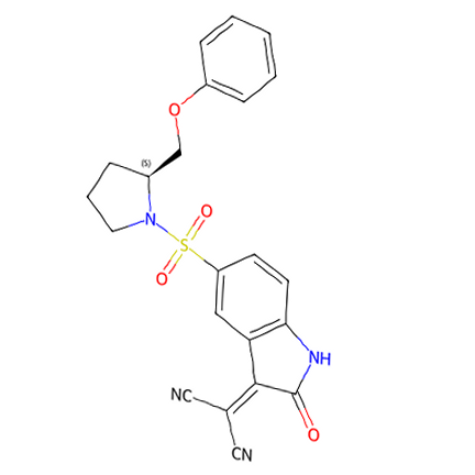 N#CC(C#N)=C1C(=O)Nc2ccc(S(=O)(=O)N3CCC[C@H]3COc3ccccc3)cc21